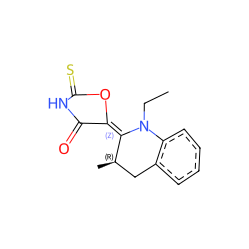 CCN1/C(=C2\OC(=S)NC2=O)[C@H](C)Cc2ccccc21